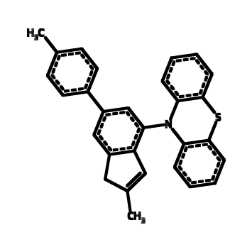 CC1=Cc2c(cc(-c3ccc(C)cc3)cc2N2c3ccccc3Sc3ccccc32)C1